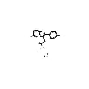 Cc1ccc(-c2nc3ccc(C)cn3c2CC(=O)N(C)C)cc1.O=S(=O)(O)O